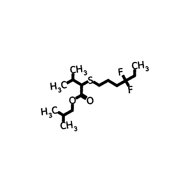 CCC(F)(F)CCCSC(C(=O)OCC(C)C)C(C)C